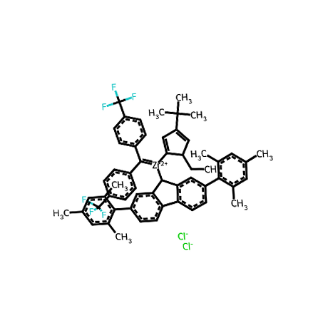 CCC1C=C(C(C)(C)C)C=[C]1[Zr+2](=[C](c1ccc(C(F)(F)F)cc1)c1ccc(C(F)(F)F)cc1)[CH]1c2cc(-c3c(C)cc(C)cc3C)ccc2-c2ccc(-c3c(C)cc(C)cc3C)cc21.[Cl-].[Cl-]